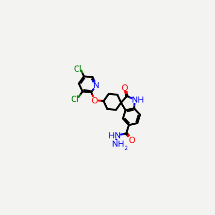 NNC(=O)c1ccc2c(c1)C1(CCC(Oc3ncc(Cl)cc3Cl)CC1)C(=O)N2